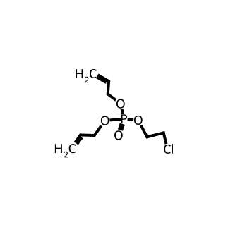 C=CCOP(=O)(OCC=C)OCCCl